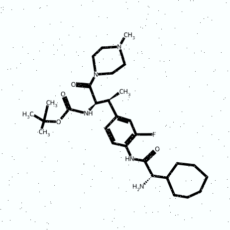 C[C@@H](c1ccc(NC(=O)[C@@H](N)C2CCCCCC2)c(F)c1)[C@@H](NC(=O)OC(C)(C)C)C(=O)N1CCN(C)CC1